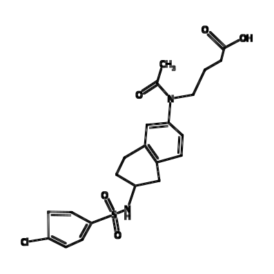 CC(=O)N(CCCC(=O)O)c1ccc2c(c1)CCC(NS(=O)(=O)c1ccc(Cl)cc1)C2